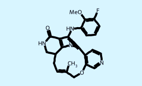 COc1c(F)cccc1Nc1c2[nH]c3c1C(=O)NCC3C/C=C(\C)COc1cnccc1-2